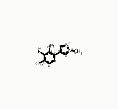 CC(C)c1c(-c2cnn(C)c2)ccc(Cl)c1F